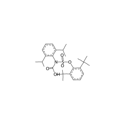 CC(C)c1cccc(C(C)C)c1N(C(=O)O)S(=O)(=O)Oc1c(C(C)(C)C)cccc1C(C)(C)C